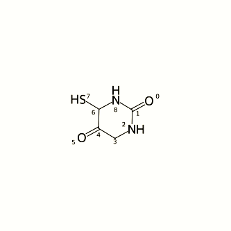 O=C1NCC(=O)C(S)N1